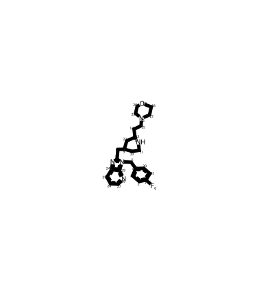 Fc1ccc(Cn2c(CC3CCNC(CCN4CCOCC4)C3)nc3cccnc32)cc1